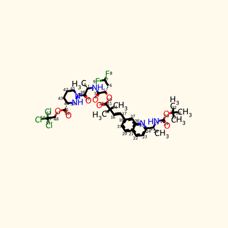 C[C@H](NC(=O)[C@H](CC(F)F)OC(=O)C(C)(C)/C=C/c1ccc2ccc([C@@H](C)NC(=O)OC(C)(C)C)nc2c1)C(=O)N1CCC[C@@H](C(=O)OCC(Cl)(Cl)Cl)N1